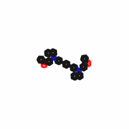 c1ccc2c(N(c3ccc(-c4ccc(-c5ccc(N(c6ccc7oc8ccccc8c7c6)c6cccc7ccccc67)cc5)cc4)cc3)c3ccc4oc5ccccc5c4c3)cccc2c1